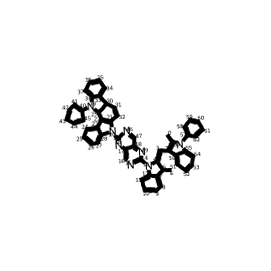 Cc1c(/C=C2\C(C)c3ccccc3N2c2ncc3nc(-n4c5c(c6ccccc64)C4C(C=C5)c5ccccc5N4c4ccccc4)ncc3n2)c2ccccc2n1-c1ccccc1